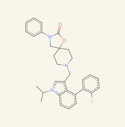 CC(C)n1cc(CN2CCC3(CC2)CN(c2ccccc2)C(=O)O3)c2c(-c3ccccc3F)cccc21